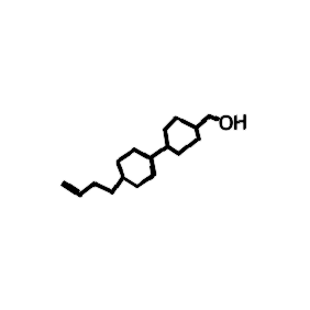 C=CCCC1CCC(C2CCC(CO)CC2)CC1